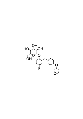 OC[C@H]1O[C@@H](Oc2ccc(F)cc2Cc2ccc(O[C@@H]3CCOC3)cc2)[C@H](O)[C@@H](O)[C@@H]1O